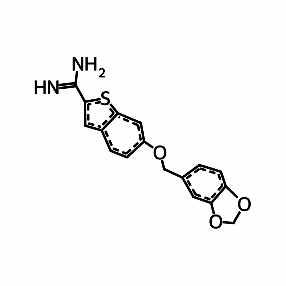 N=C(N)c1cc2ccc(OCc3ccc4c(c3)OCO4)cc2s1